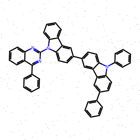 c1ccc(-c2ccc3c(c2)c2cc(-c4ccc5c(c4)c4ccccc4n5-c4nc(-c5ccccc5)c5ccccc5n4)ccc2n3-c2ccccc2)cc1